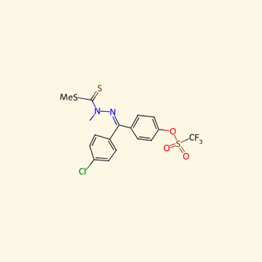 CSC(=S)N(C)N=C(c1ccc(Cl)cc1)c1ccc(OS(=O)(=O)C(F)(F)F)cc1